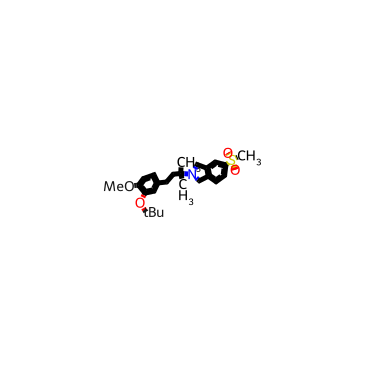 COc1ccc(CCC(C)(C)N2Cc3ccc(S(C)(=O)=O)cc3C2)cc1OC(C)(C)C